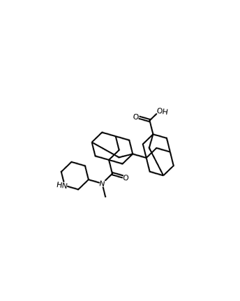 CN(C(=O)C12CC3CC(C1)CC(C14CC5CC(CC(C(=O)O)(C5)C1)C4)(C3)C2)C1CCCNC1